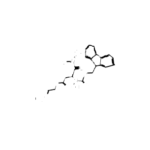 C=CCOC(=O)CC(C(=O)N(C)C)N(C)C(=O)OCC1c2ccccc2-c2ccccc21